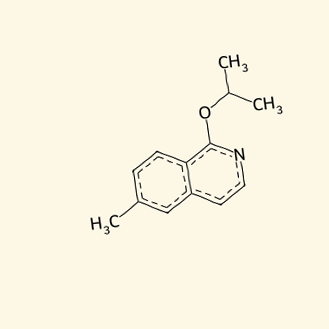 Cc1ccc2c(OC(C)C)nccc2c1